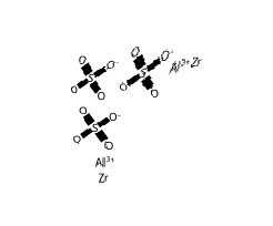 O=S(=O)([O-])[O-].O=S(=O)([O-])[O-].O=S(=O)([O-])[O-].[Al+3].[Al+3].[Zr].[Zr]